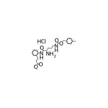 COC(=O)CCc1ccccc1NC(=O)[C@@H](N)CCCNC(=O)OCc1ccc(C)cc1.Cl